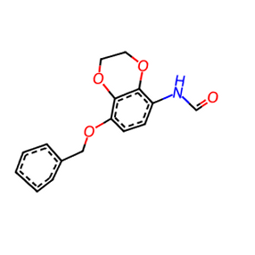 O=CNc1ccc(OCc2ccccc2)c2c1OCCO2